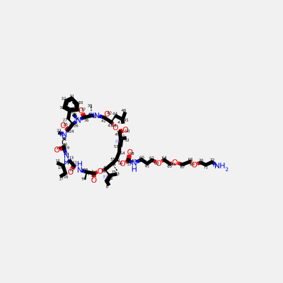 C/C=C(\C)[C@H]1OC(=O)[C@@H](C)NC(=O)[C@H](C(C)CC)NC(=O)CN(C)C(=O)[C@@H](Cc2ccccc2)N(C)C(=O)[C@H](C)NC(=O)[C@@H](CC(C)C)OC(=O)/C(C)=C/C[C@H](OC(=O)NCCCOCCOCCOCCCN)[C@@H]1C